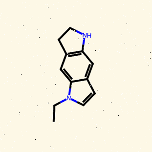 CCn1ccc2cc3c(cc21)CCN3